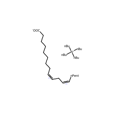 CCCCC/C=C\C/C=C\CCCCCCCC(=O)[O-].CCCC[N+](CCCC)(CCCC)CCCC